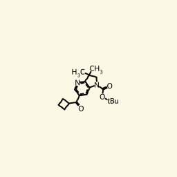 CC(C)(C)OC(=O)N1CC(C)(C)c2ncc(C(=O)C3CCC3)cc21